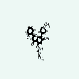 COCPOc1cc(O)c(C2CCN(C)CC2)c2oc(-c3ccccc3Cl)cc(=O)c12